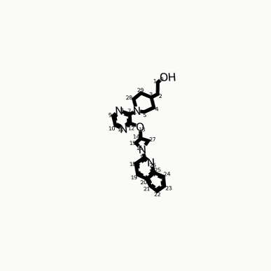 OCCC1CCN(c2nccnc2OC2CN(c3ccc4ccccc4n3)C2)CC1